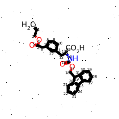 C=CCOC(=O)Cc1cccc(CC(NC(=O)OCC2c3ccccc3-c3ccccc32)C(=O)O)c1